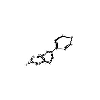 C1=CC(c2ccc3nonc3c2)=CCC1